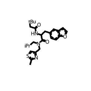 Cc1nc(CN(CC(C)C)C(=O)C(Cc2ccc3occc3c2)NC(=O)CC(C)(C)C)cs1